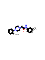 COc1ccccc1N1CCN(CC(=O)Nc2cccc(C(F)(F)F)c2)CC1